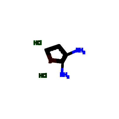 Cl.Cl.Nc1ccsc1N